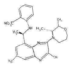 Cc1cc([C@@H](C)Nc2ccccc2C(=O)O)c2nc(N3CCOC(C)C3C)c(C#N)nc2c1